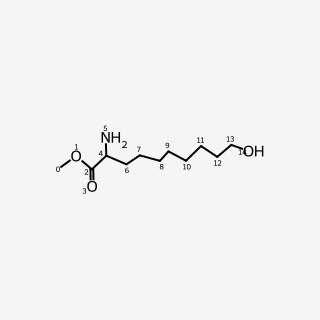 COC(=O)C(N)CCCCCCCCO